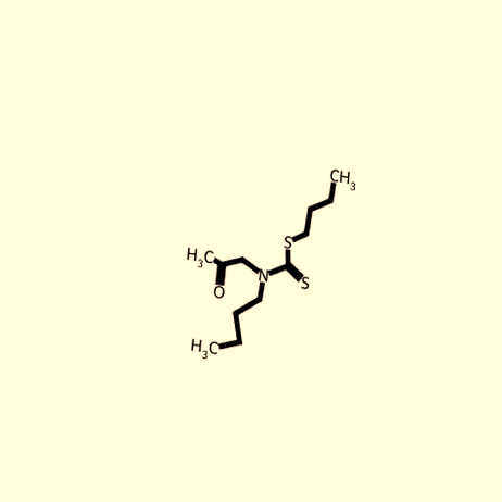 CCCCSC(=S)N(CCCC)CC(C)=O